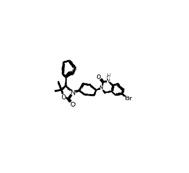 CC1(C)OC(=O)N(C2CCC(N3Cc4cc(Br)ccc4NC3=O)CC2)C1c1ccccc1